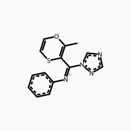 CC1=C(/C(=N\c2ccccc2)n2cncn2)SC=CO1